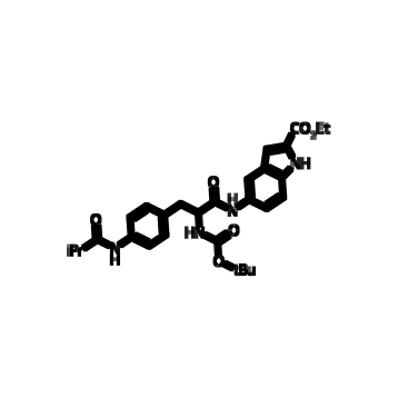 CCOC(=O)c1cc2cc(NC(=O)C(Cc3ccc(NC(=O)C(C)C)cc3)NC(=O)OC(C)(C)C)ccc2[nH]1